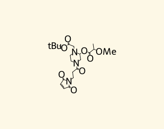 COC(C)C(=O)OC1CN(C(=O)CCN2C(=O)C=CC2=O)CCN1CC(=O)OC(C)(C)C